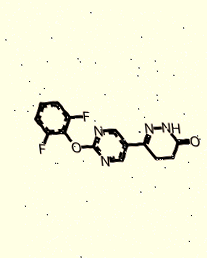 O=C1CCC(c2cnc(Oc3c(F)cccc3F)nc2)=NN1